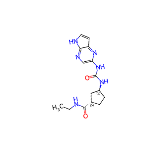 CCNC(=O)[C@H]1CC[C@H](NC(=O)Nc2cnc3[nH]ccc3n2)C1